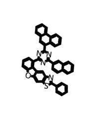 c1ccc(-c2nc3cc4c(cc3s2)oc2cccc(-c3nc(-c5ccc6ccccc6c5)nc(-c5cc6ccccc6c6ccccc56)n3)c24)cc1